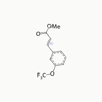 COC(=O)/C=C/c1cccc(OC(F)(F)F)c1